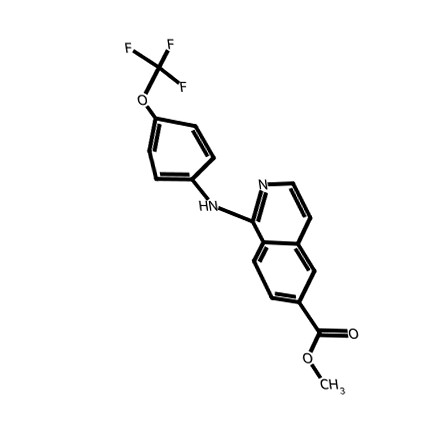 COC(=O)c1ccc2c(Nc3ccc(OC(F)(F)F)cc3)nccc2c1